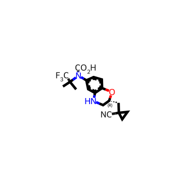 CC(C)(N(C(=O)O)c1ccc2c(c1)NC[C@@H](CC1(C#N)CC1)O2)C(F)(F)F